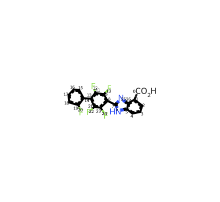 O=C(O)c1cccc2[nH]c(-c3c(F)c(F)c(-c4ccccc4F)c(F)c3F)nc12